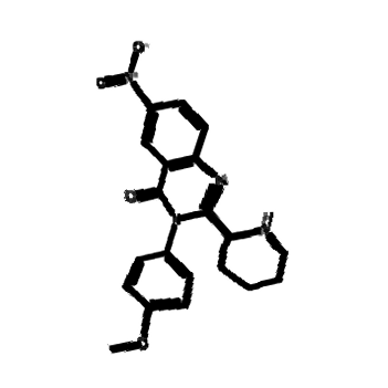 COc1ccc(-n2c(C3CCCCN3)nc3ccc([N+](=O)[O-])cc3c2=O)cc1